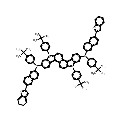 CC(C)(C)c1ccc(N(c2ccc3cc(-c4cc5c(o4)=CCCC=5)ccc3c2)c2ccc3c4c5ccc6c(c5ccc4n(-c4ccc(C(C)(C)C)cc4)c3c2)c2ccc(N(c3ccc(C(C)(C)C)cc3)c3ccc4cc(-c5cc7ccccc7o5)ccc4c3)cc2n6-c2ccc(C(C)(C)C)cc2)cc1